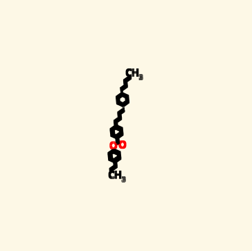 CCCCC[C@H]1CC[C@H](CCCCc2ccc(C(=O)Oc3ccc(CCC)cc3)cc2)CC1